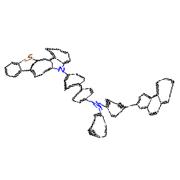 c1ccc(N(c2ccc(-c3ccc(-n4c5ccccc5c5c6sc7ccccc7c6ccc54)cc3)cc2)c2ccc(-c3ccc4c(ccc5ccccc54)c3)cc2)cc1